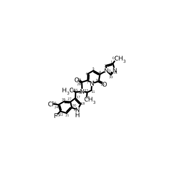 Cc1cn(-c2ccc3n(c2=O)CC(C)N(C(C)c2c[nH]c4cc(F)c(Cl)cc24)C3=O)cn1